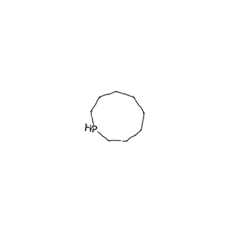 C1CCCCPCCC1